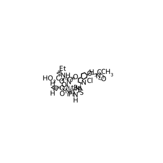 CC[C@@H]1CC1(NC(=O)[C@@H]1C[C@@H](Oc2cc(-c3csc(NC(C)C)n3)nc3c(Cl)c(OCCN4CCOCC4(C)C)ccc23)CN1C(=O)[C@@H](NC(=O)O[C@@H]1C[C@@H]2C[C@@H]2C1)C(C)(C)C)C(=O)O